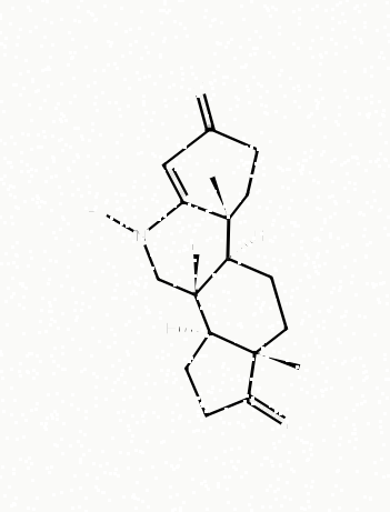 CCN1C[C@@H]2[C@H](CC[C@]3(C)C(=O)CC[C@@H]23)[C@@]2(C)CCC(=O)C=C12